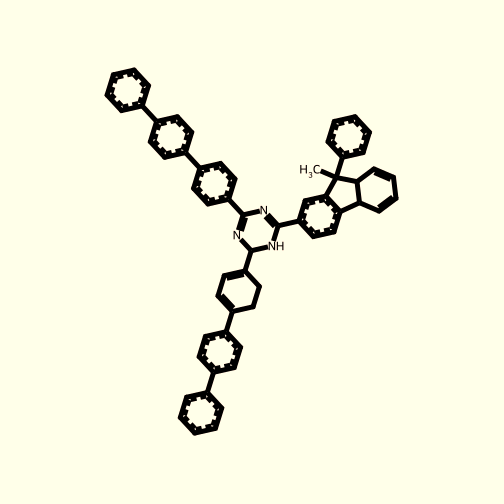 CC1(c2ccccc2)c2cc(C3=NC(c4ccc(-c5ccc(-c6ccccc6)cc5)cc4)=NC(C4=CC=C(c5ccc(-c6ccccc6)cc5)CC4)N3)ccc2C2C=CC=CC21